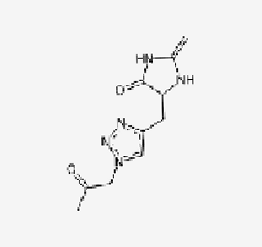 C=C1NC(=O)C(Cc2cn(CC(C)=O)nn2)N1